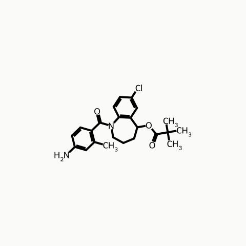 Cc1cc(N)ccc1C(=O)N1CCCC(OC(=O)C(C)(C)C)c2cc(Cl)ccc21